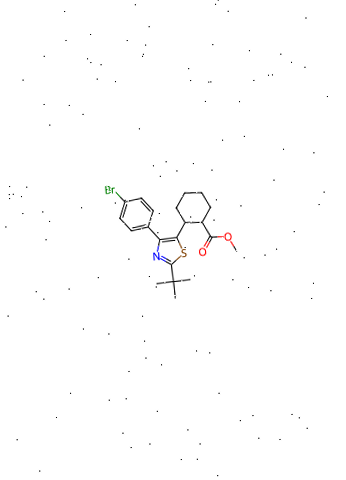 COC(=O)C1CCCCC1c1sc(C(C)(C)C)nc1-c1ccc(Br)cc1